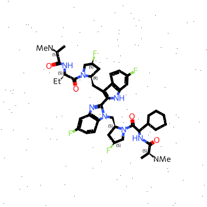 CC[C@H](NC(=O)[C@H](C)NC)C(=O)N1C[C@@H](F)C[C@H]1Cc1c(-c2nc3cc(F)ccc3n2C[C@@H]2C[C@H](F)CN2C(=O)C(NC(=O)[C@H](C)NC)C2CCCCC2)[nH]c2cc(F)ccc12